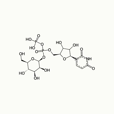 O=c1ccn([C@H]2O[C@@H](COP(=O)(O[C@@H]3O[C@H](CO)[C@@H](O)[C@H](O)[C@@H]3O)OP(=O)(O)O)C(O)C2O)c(=O)[nH]1